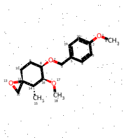 COc1ccc(CO[C@@H]2CC[C@]3(CO3)[C@@H](C)[C@@H]2OC)cc1